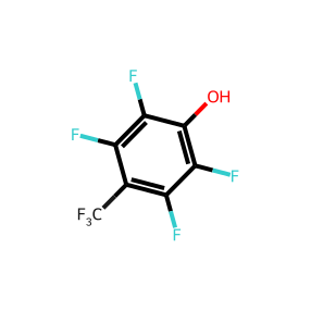 Oc1c(F)c(F)c(C(F)(F)F)c(F)c1F